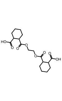 O=C(O)C1CCCCC1C(=O)OCCOC(=O)C1CCCCC1C(=O)O